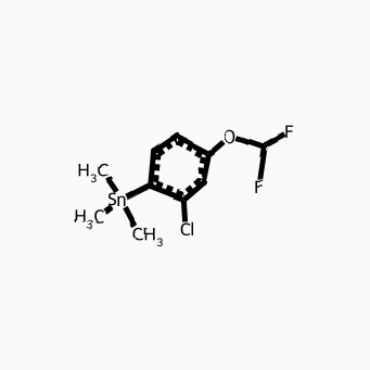 [CH3][Sn]([CH3])([CH3])[c]1ccc(OC(F)F)cc1Cl